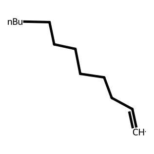 [CH]=CCCCCCCCCC[CH2]